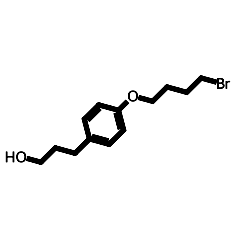 OCCCc1ccc(OCCCCBr)cc1